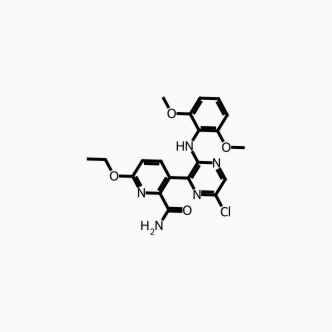 CCOc1ccc(-c2nc(Cl)cnc2Nc2c(OC)cccc2OC)c(C(N)=O)n1